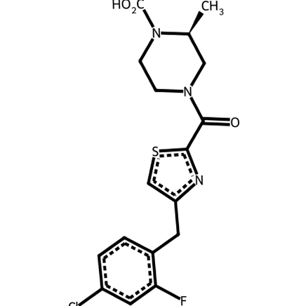 C[C@H]1CN(C(=O)c2nc(Cc3ccc(Cl)cc3F)cs2)CCN1C(=O)O